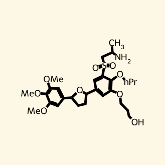 CCCOc1c(OCCCO)cc(C2CCC(c3cc(OC)c(OC)c(OC)c3)O2)cc1S(=O)(=O)CC(C)N